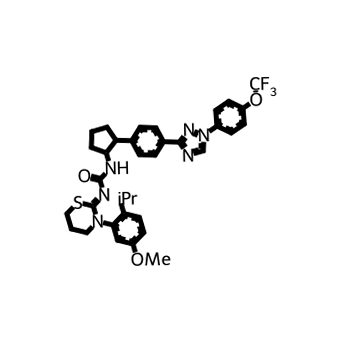 COc1ccc(C(C)C)c(N2CCCS/C2=N\C(=O)NC2CCCC2c2ccc(-c3ncn(-c4ccc(OC(F)(F)F)cc4)n3)cc2)c1